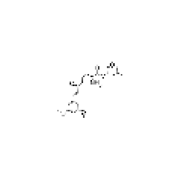 COc1cc(C=CC(=O)CC[C@H](C)[C@H](N)C(=O)N[C@H](C=O)CC(C)C)cc(OC)c1